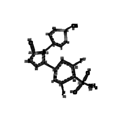 N#Cc1ccc(-n2c(-c3cc(F)c(S(N)(=O)=O)c(F)c3)csc2=O)cc1